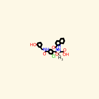 C[C@H](NN(C(=O)c1ccc2ccccc2c1)C(=O)c1ccc(C(=O)NCc2cccc(O)c2)cc1Cl)C(=O)O